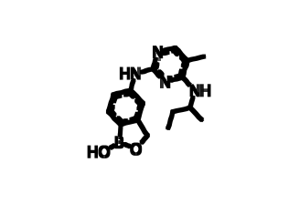 CCC(C)Nc1nc(Nc2ccc3c(c2)COB3O)ncc1C